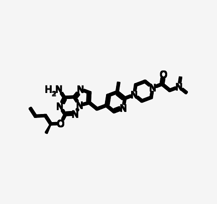 CCC[C@H](C)Oc1nc(N)c2ncc(Cc3cnc(N4CCN(C(=O)CN(C)C)CC4)c(C)c3)n2n1